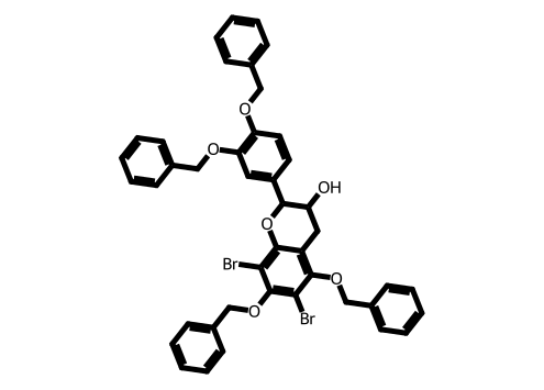 OC1Cc2c(OCc3ccccc3)c(Br)c(OCc3ccccc3)c(Br)c2OC1c1ccc(OCc2ccccc2)c(OCc2ccccc2)c1